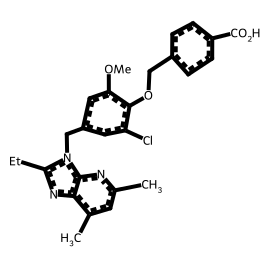 CCc1nc2c(C)cc(C)nc2n1Cc1cc(Cl)c(OCc2ccc(C(=O)O)cc2)c(OC)c1